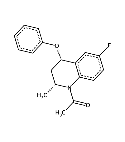 CC(=O)N1c2ccc(F)cc2[C@@H](Oc2ccccc2)C[C@H]1C